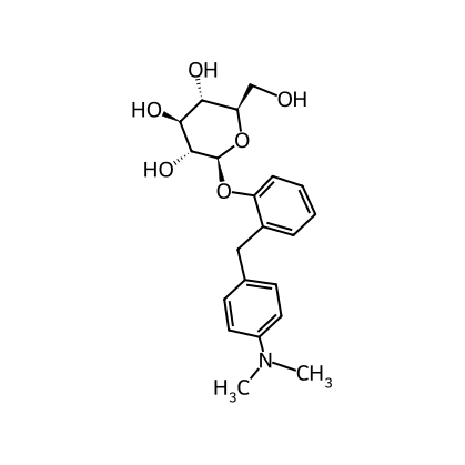 CN(C)c1ccc(Cc2ccccc2O[C@@H]2O[C@H](CO)[C@@H](O)[C@H](O)[C@H]2O)cc1